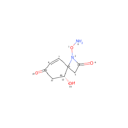 NON1C(=O)CC12C=CC(=O)C[C@H]2O